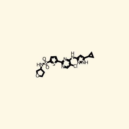 O=S(=O)(NC1CCOC1)c1ccc(-c2ncc(Cl)c(Nc3cc(C4CC4)[nH]n3)n2)s1